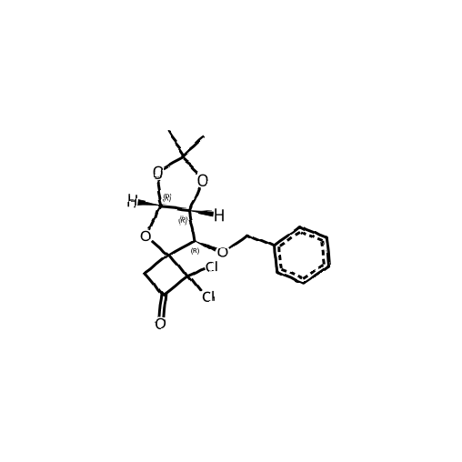 CC1(C)O[C@H]2OC3(CC(=O)C3(Cl)Cl)[C@H](OCc3ccccc3)[C@H]2O1